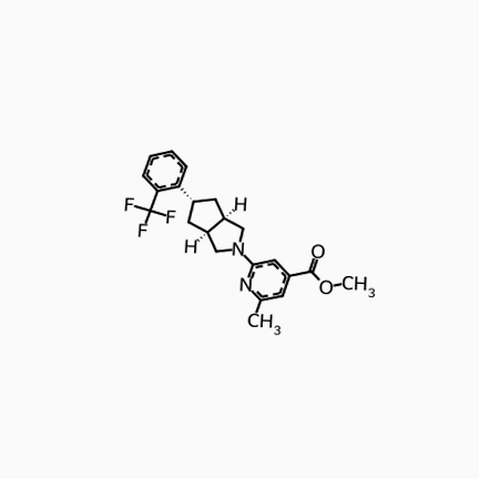 COC(=O)c1cc(C)nc(N2C[C@H]3C[C@H](c4ccccc4C(F)(F)F)C[C@H]3C2)c1